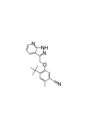 Cc1cc(C(C)(C)C)c(OCc2n[nH]c3ncccc23)cc1C#N